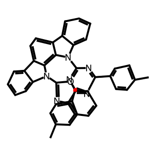 Cc1ccc(-c2nc(-c3ccc(C)cc3)nc(-n3c4ccccc4c4ccc5c6ccccc6n(-c6nc7ccccc7o6)c5c43)n2)cc1